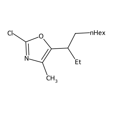 CCCCCCCC(CC)c1oc(Cl)nc1C